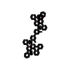 Cc1cc(-c2ccc(N(c3ccc4c5ccccc5c5ccccc5c4c3)c3ccccc3-c3ccc4sc5ccccc5c4c3)c(C)c2)ccc1N(c1ccc2c3ccccc3c3ccccc3c2c1)c1ccccc1-c1ccc2sc3ccccc3c2c1